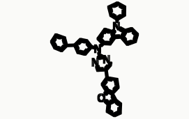 c1ccc(-c2ccc(N(c3ccc4c(c3)c3ccccc3n4-c3ccccc3)c3ncc(-c4ccc5c(c4)oc4ccccc45)cn3)cc2)cc1